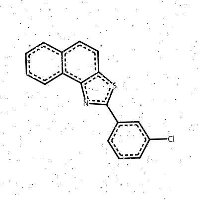 Clc1cccc(-c2nc3c(ccc4ccccc43)s2)c1